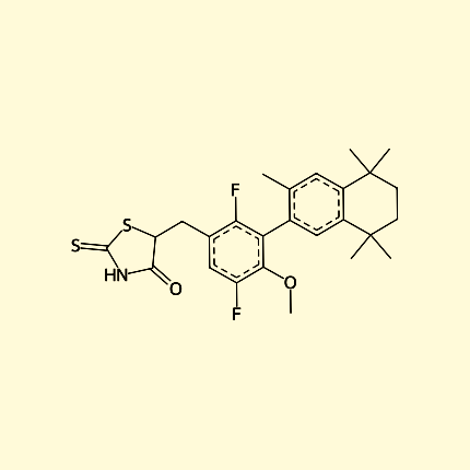 COc1c(F)cc(CC2SC(=S)NC2=O)c(F)c1-c1cc2c(cc1C)C(C)(C)CCC2(C)C